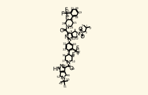 CC(C)CS(=O)(=O)N1Cc2c(C(=O)N3CCC(c4ccccc4C(F)(F)F)CC3)nn(-c3ccc(C4CCN(C(=O)c5n[nH]c6c5CN(C(C)(C)C)C6)CC4)c(C(F)(F)F)c3)c2C1